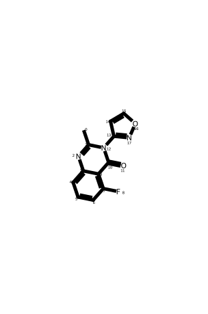 Cc1nc2cccc(F)c2c(=O)n1-c1ccon1